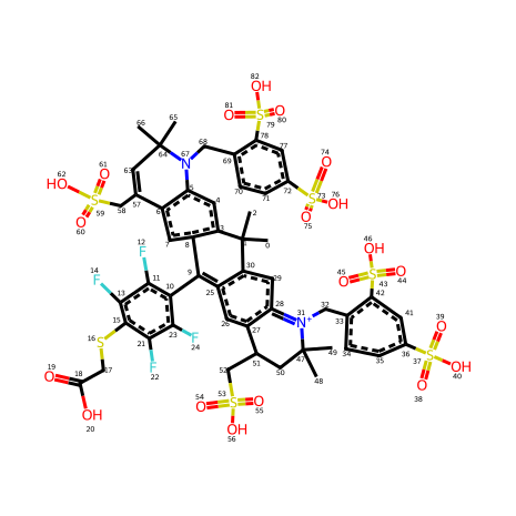 CC1(C)c2cc3c(cc2C(c2c(F)c(F)c(SCC(=O)O)c(F)c2F)=c2cc4c(cc21)=[N+](Cc1ccc(S(=O)(=O)O)cc1S(=O)(=O)O)C(C)(C)CC4CS(=O)(=O)O)C(CS(=O)(=O)O)=CC(C)(C)N3Cc1ccc(S(=O)(=O)O)cc1S(=O)(=O)O